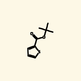 CC(C)(C)OC(=O)c1cccs1